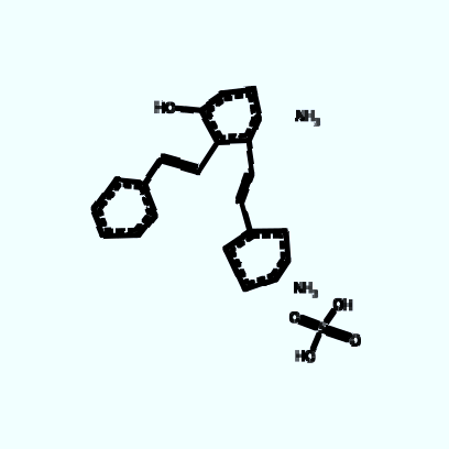 N.N.O=S(=O)(O)O.Oc1cccc(C=Cc2ccccc2)c1C=Cc1ccccc1